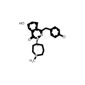 CN1CCC[C@H](n2nc(Cc3ccc(Cl)cc3)c3ccccc3c2=O)CC1.Cl